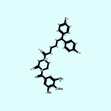 COc1c(C(C)(C)C)cc(C(=O)N2CCN(C(=O)CCCCC(c3ccc(F)cc3)c3ccc(F)cc3)CC2=O)cc1C(C)(C)C